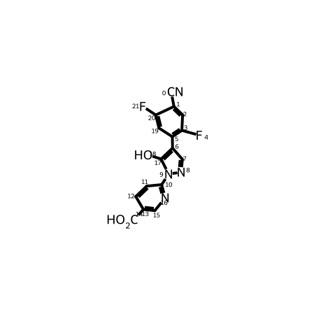 N#Cc1cc(F)c(-c2cnn(-c3ccc(C(=O)O)cn3)c2O)cc1F